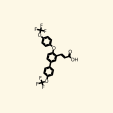 O=C(O)C=Cc1cc(-c2ccc(OC(F)(F)F)cc2)ccc1Oc1ccc(OC(F)(F)F)cc1